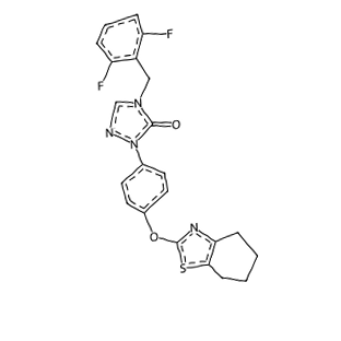 O=c1n(Cc2c(F)cccc2F)cnn1-c1ccc(Oc2nc3c(s2)CCCC3)cc1